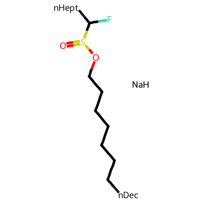 CCCCCCCCCCCCCCCCCOS(=O)C(F)CCCCCCC.[NaH]